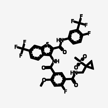 COc1cc(F)c(C(=O)NCC2(S(C)(=O)=O)CC2)cc1C(=O)Nc1c(C(=O)Nc2ccc(F)c(C(F)(F)F)c2)sc2cc(C(F)(F)F)ccc12